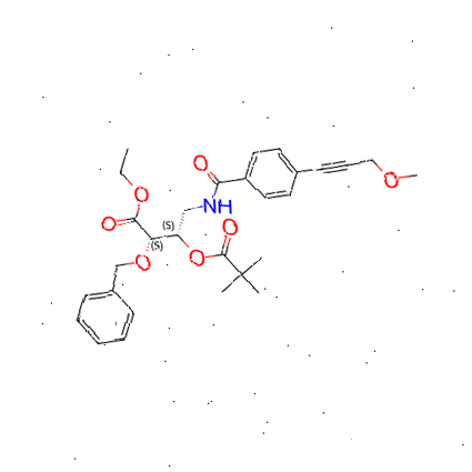 CCOC(=O)[C@@H](OCc1ccccc1)[C@H](CNC(=O)c1ccc(C#CCOC)cc1)OC(=O)C(C)(C)C